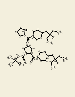 CCC(F)(CC)CN1CCN(C(=O)[C@@H]2CCCN2)CC1.CCC(F)(CC)CN1CCN(C(=O)[C@@H]2CCCN2C(=O)OC(C)(C)C)CC1